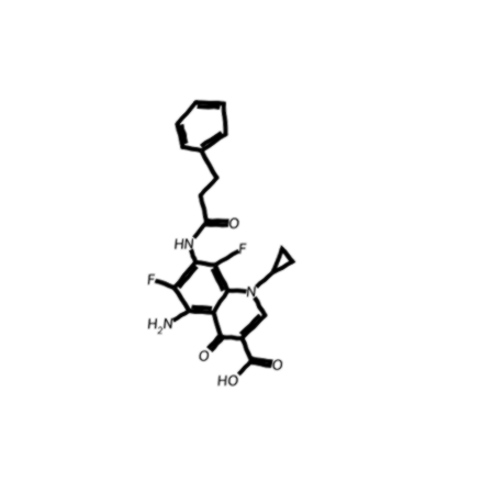 Nc1c(F)c(NC(=O)CCc2ccccc2)c(F)c2c1c(=O)c(C(=O)O)cn2C1CC1